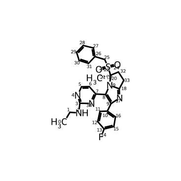 CCNc1nccc(-c2c(-c3ccc(F)cc3)nc3n2[C@@](C)(S(=O)(=O)Cc2ccccc2)CC3)n1